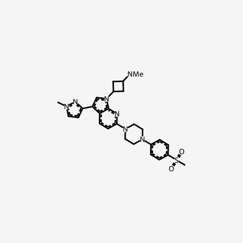 CNC1CC(n2cc(-c3ccn(C)n3)c3ccc(N4CCN(c5ccc(S(C)(=O)=O)cc5)CC4)nc32)C1